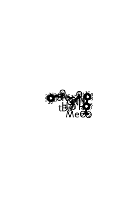 COC(=O)c1ccc(-c2ccccc2NC(=O)[C@H](CCCNC(=O)OCc2ccccc2)NC(=O)OC(C)(C)C)cc1